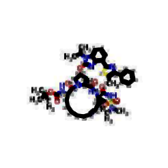 Cc1sc(-c2cccc3c2nc(O[C@@H]2C[C@H]4C(=O)N[C@]5(C(=O)NS(=O)(=O)N(C)C)C[C@H]5/C=C\CCCCC[C@H](NC(=O)OC(C)(C)C)C(=O)N4C2)n3C(C)C)nc1-c1ccccc1